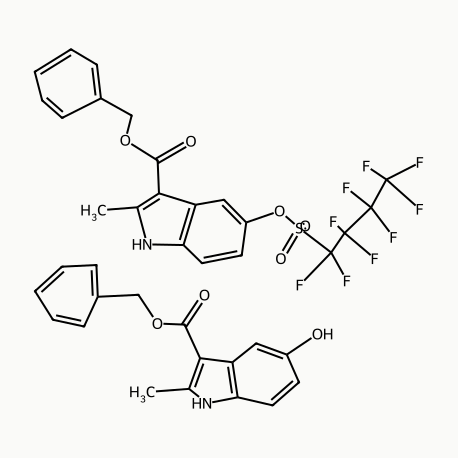 Cc1[nH]c2ccc(O)cc2c1C(=O)OCc1ccccc1.Cc1[nH]c2ccc(OS(=O)(=O)C(F)(F)C(F)(F)C(F)(F)C(F)(F)F)cc2c1C(=O)OCc1ccccc1